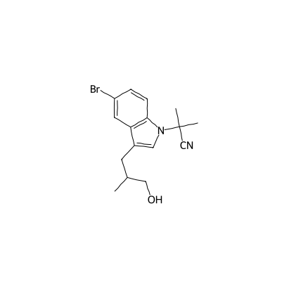 CC(CO)Cc1cn(C(C)(C)C#N)c2ccc(Br)cc12